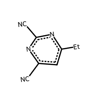 CCc1cc(C#N)nc(C#N)n1